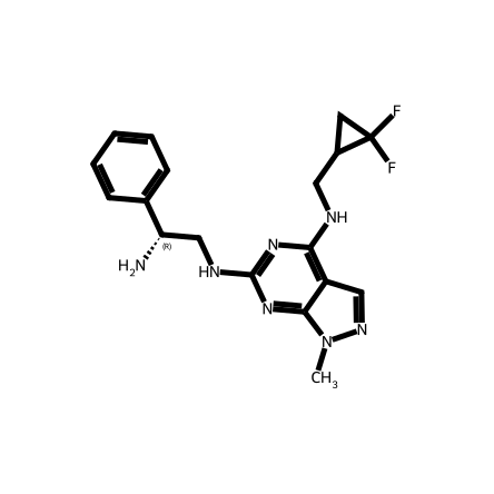 Cn1ncc2c(NCC3CC3(F)F)nc(NC[C@H](N)c3ccccc3)nc21